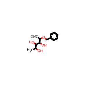 CC(O)C(O)C(O)C(C=O)OCc1ccccc1